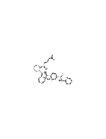 CN(C)CC=CC(=O)N1CCCCC1C1=C2C=NC=C[N+]2(N)C(c2ccc(C(=O)Nc3ccccn3)cc2)=N1